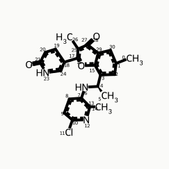 Cc1cc([C@@H](C)Nc2ccc(Cl)nc2C)c2oc(-c3ccc(=O)[nH]c3)c(C)c(=O)c2c1